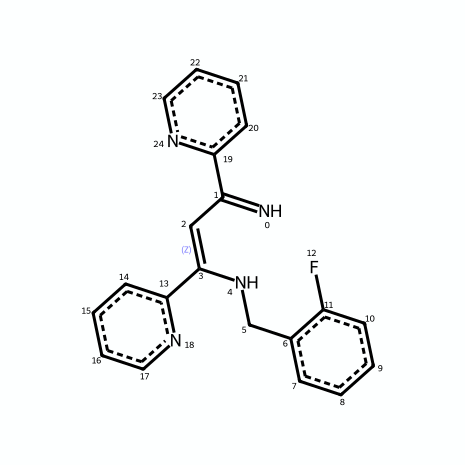 N=C(/C=C(\NCc1ccccc1F)c1ccccn1)c1ccccn1